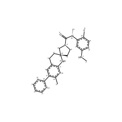 CNc1cc([C@@H](C)C(=O)N2CC[C@@]3(CCc4cc(-c5ncccn5)c(C)nc4N3)C2)c(F)cn1